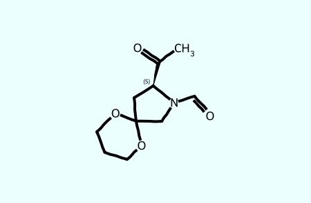 CC(=O)[C@@H]1CC2(CN1C=O)OCCCO2